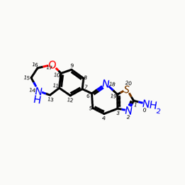 Nc1nc2ccc(-c3ccc4c(c3)CNCCO4)nc2s1